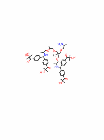 CCC(COCC(C)N)(COCC(C)NC(c1ccc(C(=O)C(C)(C)O)cc1)c1ccc(C(=O)C(C)(C)O)cc1)COCC(C)OCC(C)NC(c1ccc(C(=O)C(C)(C)O)cc1)c1ccc(C(=O)C(C)(C)O)cc1